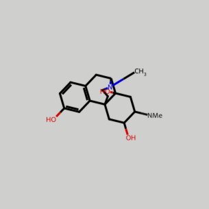 CNC1CC2(O)C3Cc4ccc(O)cc4C2(CCN3C)CC1O